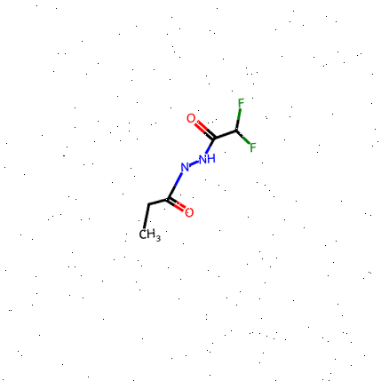 CCC(=O)[N]NC(=O)C(F)F